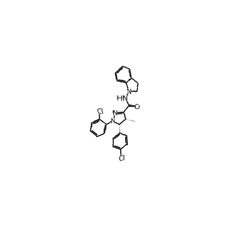 C[C@H]1C(C(=O)NN2CCc3ccccc32)=NN(c2ccccc2Cl)[C@H]1c1ccc(Cl)cc1